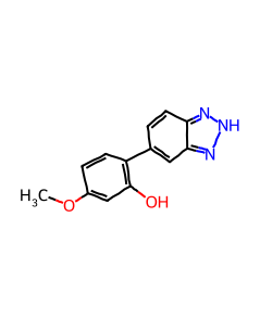 COc1ccc(-c2ccc3n[nH]nc3c2)c(O)c1